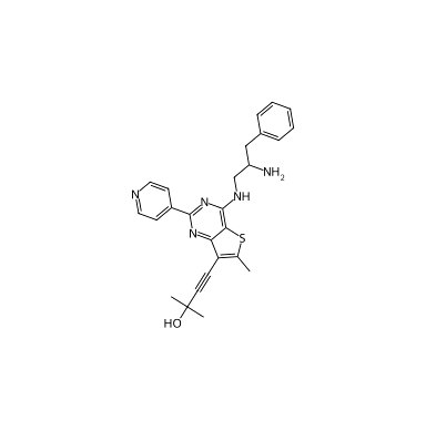 Cc1sc2c(NCC(N)Cc3ccccc3)nc(-c3ccncc3)nc2c1C#CC(C)(C)O